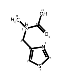 C[SH](Cc1cs[c]n1)C(=O)O